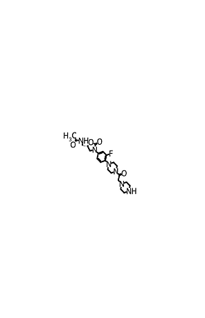 CC(=O)NC[C@H]1CN(c2ccc(N3CCN(C(=O)CN4CCNCC4)CC3)c(F)c2)C(=O)O1